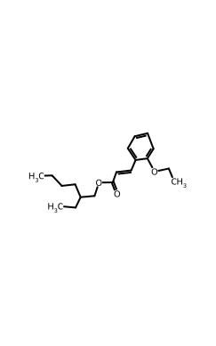 CCCCC(CC)COC(=O)C=Cc1ccccc1OCC